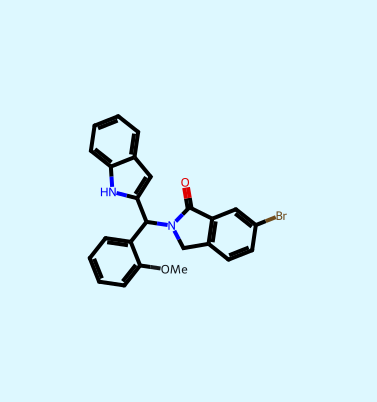 COc1ccccc1C(c1cc2ccccc2[nH]1)N1Cc2ccc(Br)cc2C1=O